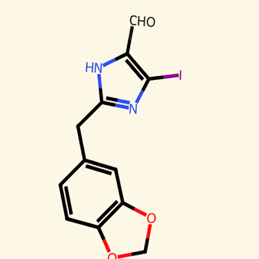 O=Cc1[nH]c(Cc2ccc3c(c2)OCO3)nc1I